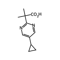 CC(C)(C(=O)O)c1ncc(C2CC2)cn1